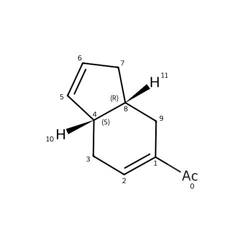 CC(=O)C1=CC[C@@H]2C=CC[C@@H]2C1